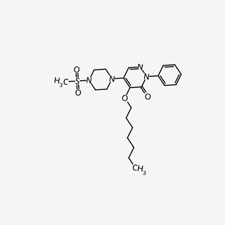 CCCCCCCOc1c(N2CCN(S(C)(=O)=O)CC2)cnn(-c2ccccc2)c1=O